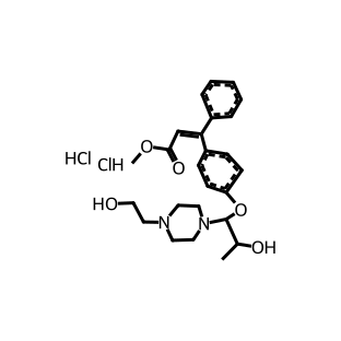 COC(=O)C=C(c1ccccc1)c1ccc(OC(C(C)O)N2CCN(CCO)CC2)cc1.Cl.Cl